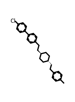 Cc1ccc(CC[C@H]2CC[C@H](CCc3ccc(-c4ccc(Cl)cc4)cc3)CC2)cc1